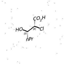 CCC[C@H](O)[C@@H](Cl)C(=O)O